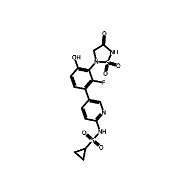 O=C1CN(c2c(O)ccc(-c3ccc(NS(=O)(=O)C4CC4)nc3)c2F)S(=O)(=O)N1